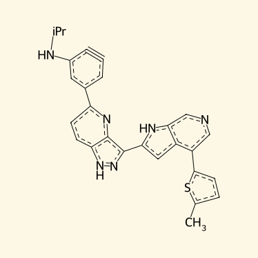 Cc1ccc(-c2cncc3[nH]c(-c4n[nH]c5ccc(-c6cc#cc(NC(C)C)c6)nc45)cc23)s1